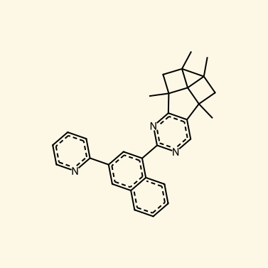 CC12CC3(C)C4(C)CC(C)(c5nc(-c6cc(-c7ccccn7)cc7ccccc67)ncc51)C234